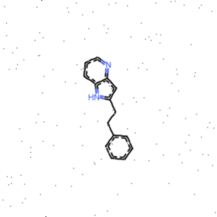 c1ccc(CCc2cc3ncccc3[nH]2)cc1